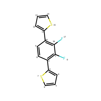 Fc1c(-c2cccs2)ccc(-c2cccs2)c1F